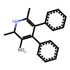 CC1=C(c2ccccc2)C(c2ccccc2)=C([N+](=O)[O-])C(C)N1